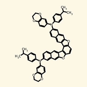 CC(C)c1ccc(N(c2ccc3c(c2)OCCO3)c2ccc3cc4c(cc3c2)oc2ccc3oc5cc6cc(N(c7ccc(C(C)C)cc7)c7ccc8c(c7)OCCO8)ccc6cc5c3c24)cc1